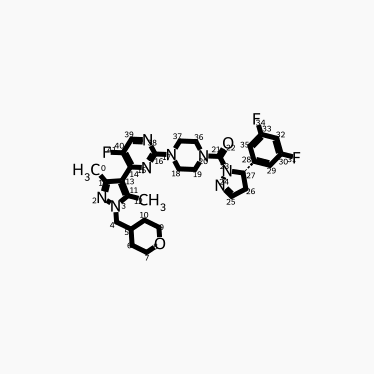 Cc1nn(CC2CCOCC2)c(C)c1-c1nc(N2CCN(C(=O)N3N=CC[C@H]3c3cc(F)cc(F)c3)CC2)ncc1F